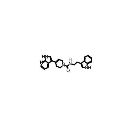 O=C(NCCc1c[nH]c2ccccc12)N1CC=C(c2c[nH]c3ncccc23)CC1